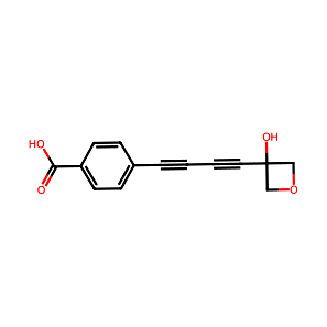 O=C(O)c1ccc(C#CC#CC2(O)COC2)cc1